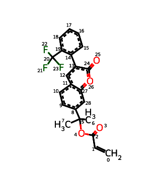 C=CC(=O)OC(C)(C)c1ccc2cc(-c3ccccc3C(F)(F)F)c(=O)oc2c1